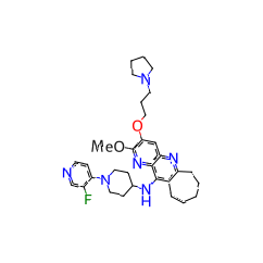 COc1nc2c(NC3CCN(c4ccncc4F)CC3)c3c(nc2cc1OCCCN1CCCC1)CCCCC3